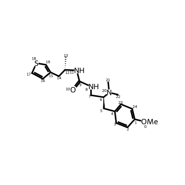 COc1ccc(C[C@@H](CNC(=O)N[C@@H](C)Cc2ccsc2)N(C)C)cc1